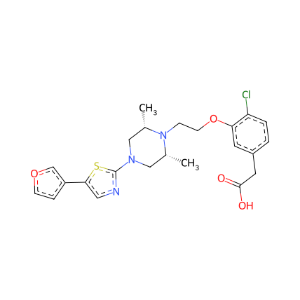 C[C@@H]1CN(c2ncc(-c3ccoc3)s2)C[C@H](C)N1CCOc1cc(CC(=O)O)ccc1Cl